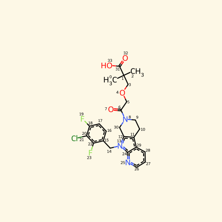 CC(C)(COCC(=O)N1CCc2c(n(Cc3ccc(F)c(Cl)c3F)c3ncccc23)C1)C(=O)O